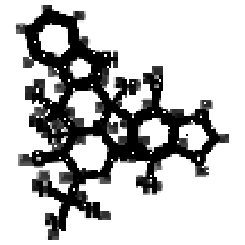 [2H]c1c([2H])c([C@]2([2H])c3[nH]c4ccccc4c3C([2H])([2H])[C@]3([2H])C(=O)N(C([2H])([2H])[2H])CC(=O)N23)c([2H])c2c1OCO2